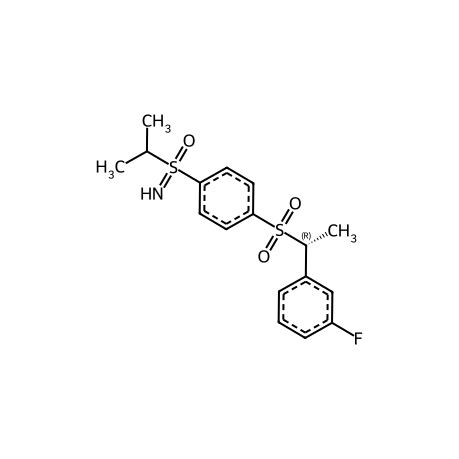 CC(C)S(=N)(=O)c1ccc(S(=O)(=O)[C@H](C)c2cccc(F)c2)cc1